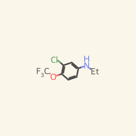 CCNc1ccc(OC(F)(F)F)c(Cl)c1